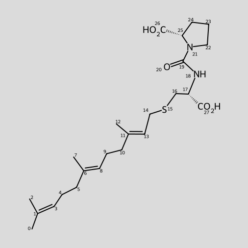 CC(C)=CCC/C(C)=C/CC/C(C)=C/CSC[C@H](NC(=O)N1CCC[C@H]1C(=O)O)C(=O)O